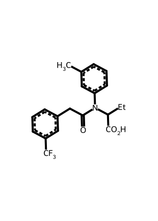 CCC(C(=O)O)N(C(=O)Cc1cccc(C(F)(F)F)c1)c1cccc(C)c1